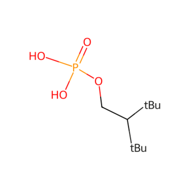 CC(C)(C)C(COP(=O)(O)O)C(C)(C)C